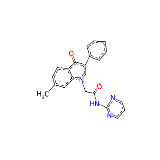 Cc1ccc2c(=O)c(-c3ccccc3)cn(CC(=O)Nc3ncccn3)c2c1